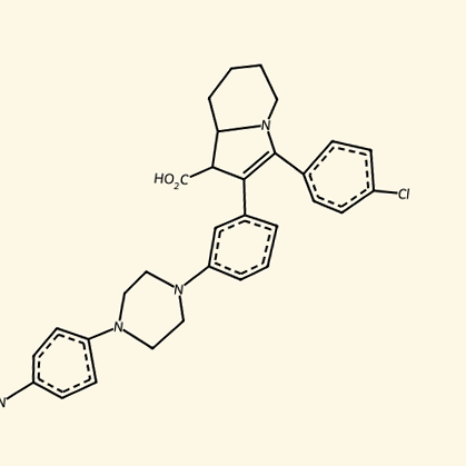 Nc1ccc(N2CCN(c3cccc(C4=C(c5ccc(Cl)cc5)N5CCCCC5C4C(=O)O)c3)CC2)cc1